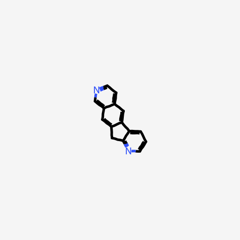 c1cnc2c(c1)-c1cc3ccncc3cc1C2